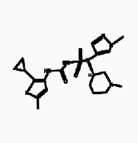 Cc1cc(NC(=O)NS(=O)(=O)N(c2cnn(C)c2)[C@@H]2CCCN(C)C2)c(C2CC2)s1